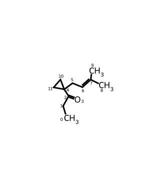 CCC(=O)C1(CC=C(C)C)CC1